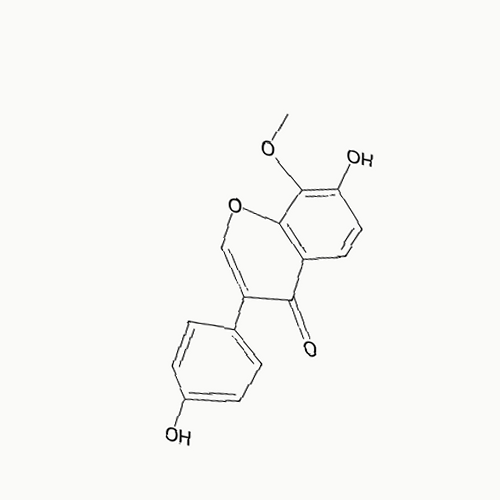 COc1c(O)ccc2c(=O)c(-c3ccc(O)cc3)coc12